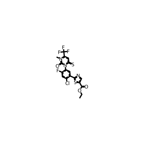 CCOC(=O)c1cnc(-c2cc(-n3c(=S)cc(C(F)(F)F)n(C)c3=O)c(F)cc2Cl)s1